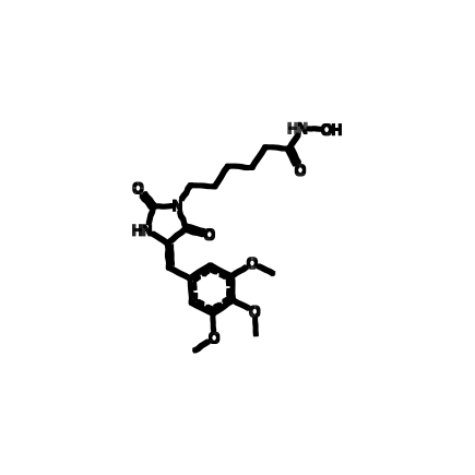 COc1cc(C=C2NC(=O)N(CCCCCC(=O)NO)C2=O)cc(OC)c1OC